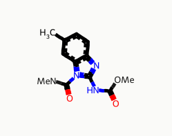 CNC(=O)n1c(NC(=O)OC)nc2ccc(C)cc21